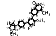 Cc1c[nH]c(=O)c2ccc(-c3cc(-c4ccc([C@]56C[C@H]5CN(C)C6)cc4)c(F)nc3N)cc12